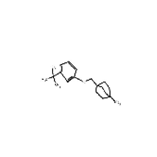 CC(C)(C)c1cccc(OCC23CCC(N)(CC2)CC3)c1